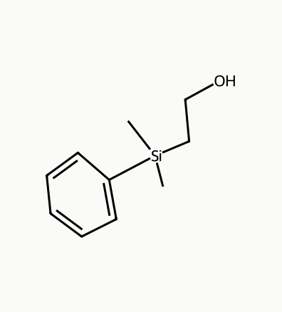 C[Si](C)(CCO)c1ccccc1